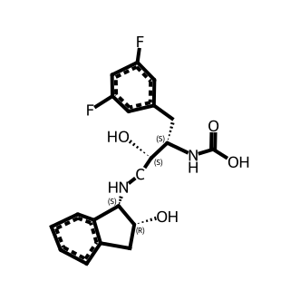 O=C(O)N[C@@H](Cc1cc(F)cc(F)c1)[C@@H](O)CN[C@H]1c2ccccc2C[C@H]1O